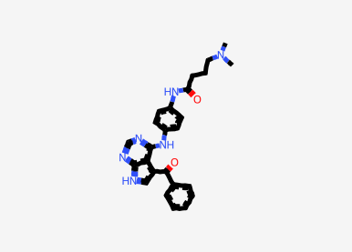 CN(C)CCCC(=O)Nc1ccc(Nc2ncnc3[nH]cc(C(=O)c4ccccc4)c23)cc1